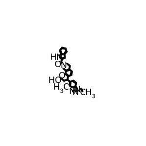 CCn1nnc2c(C)c(C(CC(=O)O)c3ccc4c(c3)CN(C(=O)c3cc5ccccc5[nH]3)CC4)ccc21